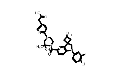 CC1CC2(C1)CN(c1ccc(Cl)c(F)c1)c1ccc(C(=O)N3CCN(c4ccc(CC(=O)O)cn4)CC3(C)C)nc12